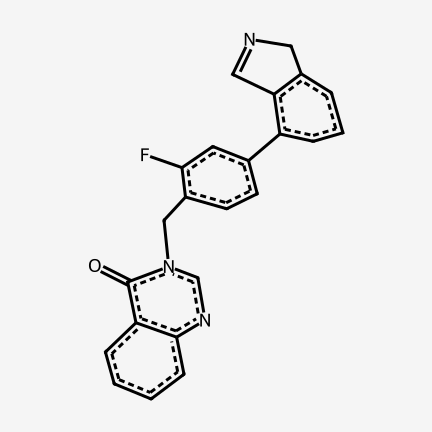 O=c1c2ccccc2ncn1Cc1ccc(-c2cccc3c2C=NC3)cc1F